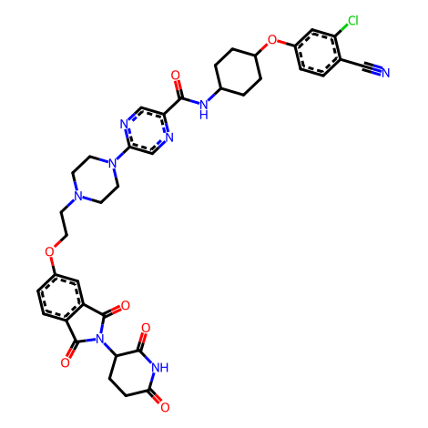 N#Cc1ccc(OC2CCC(NC(=O)c3cnc(N4CCN(CCOc5ccc6c(c5)C(=O)N(C5CCC(=O)NC5=O)C6=O)CC4)cn3)CC2)cc1Cl